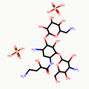 NCCC(O)C(=O)NC1CC(N)C(OC2OC(CN)C(O)C(O)C2O)C(O)C1OC1OC(CO)C(O)C(N)C1O.O=S(=O)(O)O.O=S(=O)(O)O